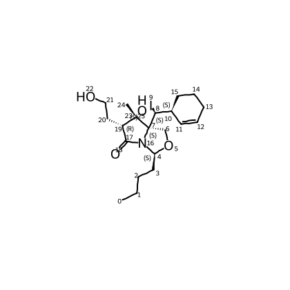 CCCC[C@@H]1OC[C@]2([C@@H](I)[C@@H]3C=CCCC3)N1C(=O)[C@H](CCO)[C@]2(C)O